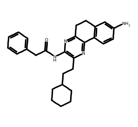 Nc1ccc2c(c1)CCc1nc(NC(=O)Cc3ccccc3)c(CCC3CCCCC3)nc1-2